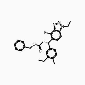 CCc1cc([C@H](CC(=O)OCc2ccccc2)c2ccc3c(nnn3CC)c2F)ccc1C